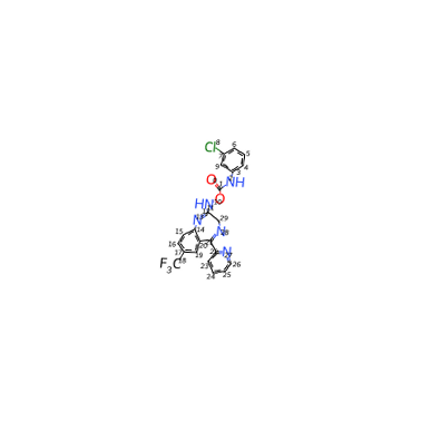 O=C(Nc1cccc(Cl)c1)ONC1=Nc2ccc(C(F)(F)F)cc2C(c2ccccn2)=NC1